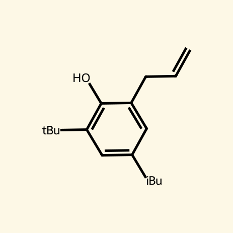 C=CCc1cc(C(C)CC)cc(C(C)(C)C)c1O